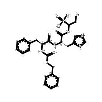 CC(C)CC(NC(=O)[C@H](Cc1c[nH]cn1)NC(=O)[C@H](Cc1ccccc1)NC(=O)OCc1ccccc1)P(=O)(O)O